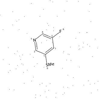 CSc1cncc(F)c1